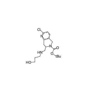 CC(C)(C)OC(=O)N1Cc2ccc(Cl)nc2CC1CNCCCO